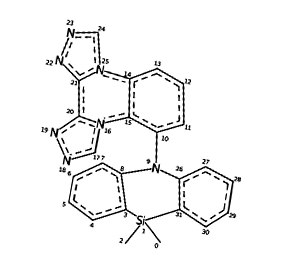 C[Si]1(C)c2ccccc2N(c2cccc3c2n2cnnc2c2nncn32)c2ccccc21